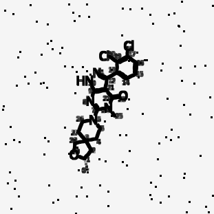 C[C@H]1CC2(CCN(c3nc4[nH]nc(-c5cccc(Cl)c5Cl)c4c(=O)n3C)CC2)CO1